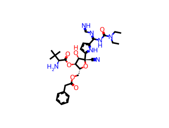 CCN(CC)C(=O)N/C(=N/C=N)c1ccc([C@]2(C#N)O[C@H](COC(=O)Cc3ccccc3)[C@@H](OC(=O)[C@@H](N)C(C)(C)C)[C@H]2O)[nH]1